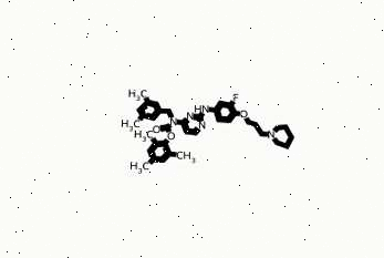 Cc1cc(C)cc(CN(C(=O)Oc2c(C)cc(C)cc2C)c2ccnc(Nc3ccc(OCCCN4CCCCC4)c(F)c3)n2)c1